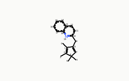 CC1=C(C)C(C)(C)[C]=C1Cc1ccc2ccccc2n1